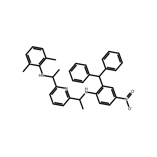 Cc1cccc(C)c1NC(C)c1cccc(C(C)Nc2ccc([N+](=O)[O-])cc2C(c2ccccc2)c2ccccc2)n1